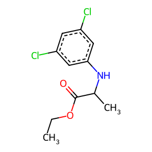 CCOC(=O)C(C)Nc1cc(Cl)cc(Cl)c1